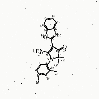 Cc1ccc(N2C(N)=C(c3nc4ccccc4[nH]3)C(=O)C2(C)C)c(C)c1